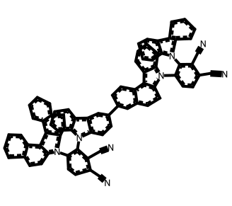 N#Cc1ccc(-n2c3ccccc3c3c4ccc(-c5ccc6c(c5)c5ccccc5n6-c5c(-n6c7ccc8ccccc8c7c7c8ccccc8ccc76)ccc(C#N)c5C#N)cc4ccc32)c(-n2c3ccccc3c3ccccc32)c1C#N